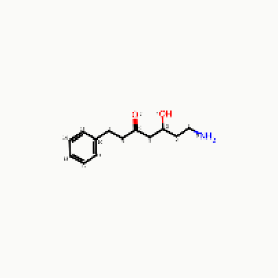 NCCC(O)CC(=O)CCc1ccccc1